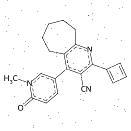 Cn1cc(-c2c(C#N)c(C3=CC=C3)nc3c2CCCCC3)ccc1=O